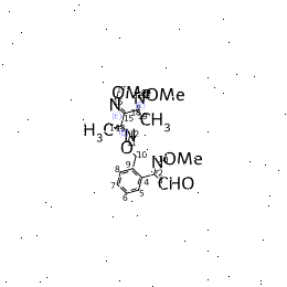 CON=C(C=O)c1ccccc1CO/N=C(C)/C(=N/OC)C(/C)=N/OC